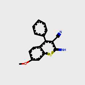 COc1ccc2c(-c3ccccc3)c(C#N)c(=N)sc2c1